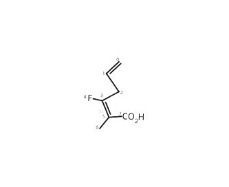 C=CC/C(F)=C(/C)C(=O)O